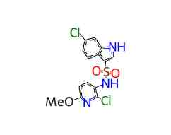 COc1ccc(NS(=O)(=O)c2c[nH]c3cc(Cl)ccc23)c(Cl)n1